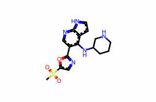 CS(=O)(=O)c1cnc(-c2cnc3[nH]ccc3c2NC2CCCNC2)o1